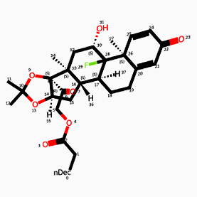 CCCCCCCCCCCC(=O)OCC(=O)[C@@]12OC(C)(C)O[C@@H]1C[C@H]1[C@@H]3CCC4=CC(=O)C=C[C@]4(C)C3(F)[C@@H](O)C[C@@]12C